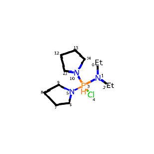 CCN(CC)[PH](Cl)(N1CCCC1)N1CCCC1